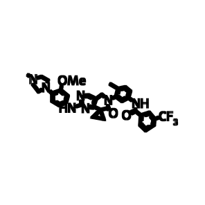 COc1cc(Nc2ncc3c(n2)C2(CC2)C(=O)N(c2cc(NC(=O)c4cccc(C(F)(F)F)c4)ccc2C)C3)ccc1N1CCN(C)CC1